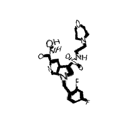 O=C(NO)c1cc2c(S(=O)(=O)NCCN3CCOCC3)cn(Cc3ccc(F)cc3F)c2cn1